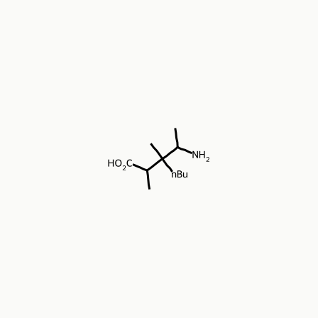 CCCCC(C)(C(C)N)C(C)C(=O)O